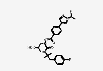 CC(C[C@H](NC(=O)c1ccc(-c2cnn(C(F)F)c2)cc1)C(=O)NC(C)(C)Cc1ccc(F)cc1)C(=O)O